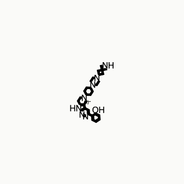 C[C@@H]1c2c([nH]c3nnc(-c4ccccc4O)cc23)CCN1C1CCC(N2CCN(C3CC4(CNC4)C3)CC2)CC1